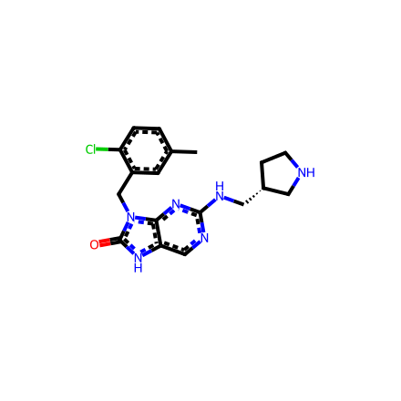 Cc1ccc(Cl)c(Cn2c(=O)[nH]c3cnc(NC[C@@H]4CCNC4)nc32)c1